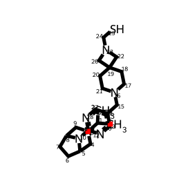 CC(C)N1CC2CCC(C1)N2c1ncc(CN2CCC3(CC2)CN(CS)C3)cn1